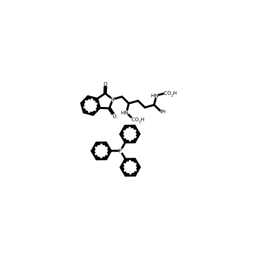 CC(C)C(CCC(CN1C(=O)c2ccccc2C1=O)NC(=O)O)NC(=O)O.c1ccc(P(c2ccccc2)c2ccccc2)cc1